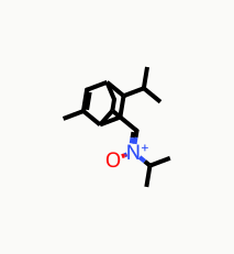 CC1=CC2CC(C=[N+]([O-])C(C)C)C1CC2C(C)C